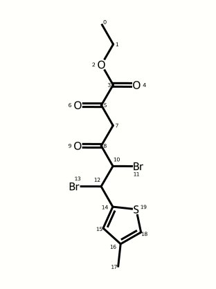 CCOC(=O)C(=O)CC(=O)C(Br)C(Br)c1cc(C)cs1